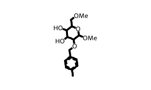 COCC1OC(OC)C(OCc2ccc(C)cc2)C(O)C1O